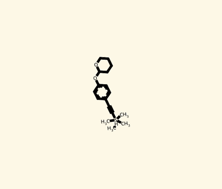 C[SH](C)(C)(C)C#Cc1ccc(OC2CCCCO2)cc1